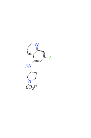 O=C(O)N1CC[C@@H](Nc2cc(F)cc3ncccc23)C1